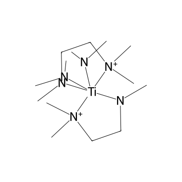 C[N](C)[Ti]12([N](C)C)([N](C)CC[N+]1(C)C)[N](C)CC[N+]2(C)C